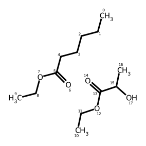 CCCCCC(=O)OCC.CCOC(=O)C(C)O